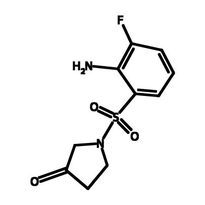 Nc1c(F)cccc1S(=O)(=O)N1CCC(=O)C1